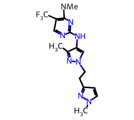 CNc1nc(Nc2cn(CCc3ccn(C)n3)nc2C)ncc1C(F)(F)F